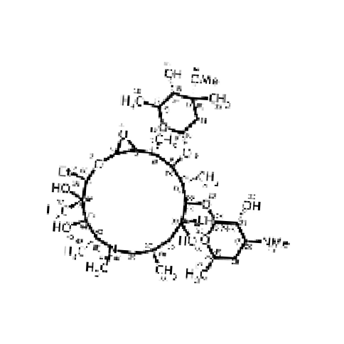 CC[C@H]1OC2OC2[C@H](C)[C@@H](O[C@H]2C[C@@](C)(OC)[C@@H](O)[C@H](C)O2)[C@H](C)[C@@H](O[C@@H]2O[C@H](C)C[C@H](NC)[C@H]2O)[C@](C)(O)C[C@@H](C)CN(C)[C@H](C)[C@@H](O)[C@]1(C)O